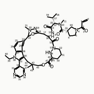 C=CC(=O)N1CC[C@H](C(=O)N(C)[C@H](C(=O)N[C@H]2CC3=NN(C)C(O3)c3ccc4c(c3)c(c(-c3cncnc3)n4CC)CC(C)(C)COC(=O)[C@@H]3CCCN(N3)C2=O)C(C)C)C1